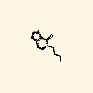 CCCCn1ccc2cc[nH]c2c1=O